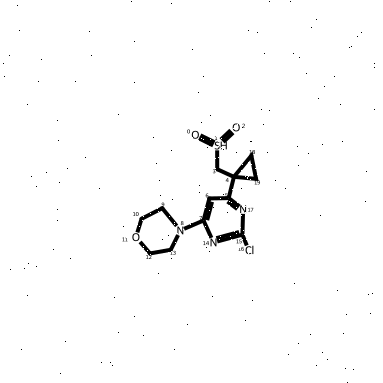 O=[SH](=O)CC1(c2cc(N3CCOCC3)nc(Cl)n2)CC1